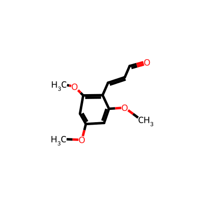 COc1cc(OC)c(C=CC=O)c(OC)c1